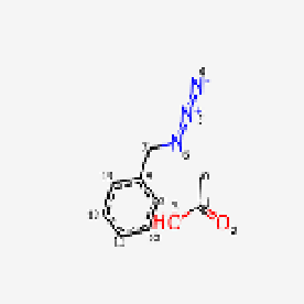 CC(=O)O.[N-]=[N+]=NCc1ccccc1